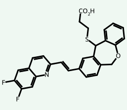 O=C(O)CCSC1c2cc(C=Cc3ccc4cc(F)c(F)cc4n3)ccc2COc2ccccc21